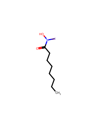 CCCCCCCC(=O)N(O)I